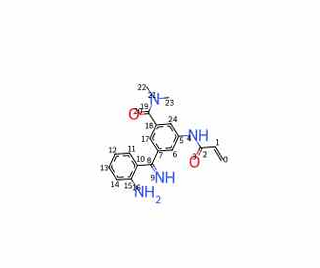 C=CC(=O)Nc1cc(C(=N)c2ccccc2N)cc(C(=O)N(C)C)c1